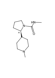 CNC(=O)N1CCC[C@@H]1C1CCN(C)CC1